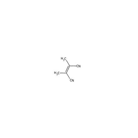 C/C(C#N)=C(\C)C#N